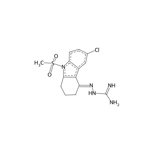 CS(=O)(=O)n1c2c(c3cc(Cl)ccc31)/C(=N/NC(=N)N)CCC2